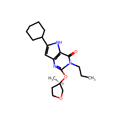 CCCn1c(O[C@]2(C)CCOC2)nc2cc(C3CCCCC3)[nH]c2c1=O